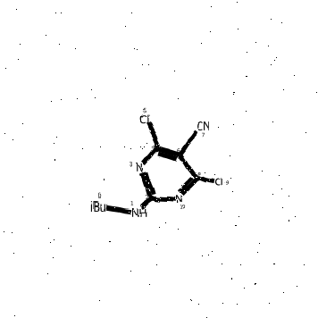 CCC(C)Nc1nc(Cl)c(C#N)c(Cl)n1